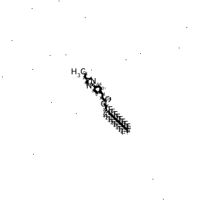 CCCc1cnc(-c2ccc(CCC(=O)OCCC(F)(F)C(F)(F)C(F)(F)C(F)(F)C(F)(F)C(F)(F)C(F)(F)C(F)(F)F)cc2)nc1